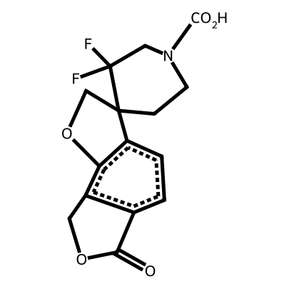 O=C1OCc2c1ccc1c2OCC12CCN(C(=O)O)CC2(F)F